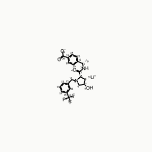 C[C@H](NC(=O)[C@H]1C[C@@H](O)CN1Cc1cccc(C(F)(F)F)c1)c1ccc(C(=O)[O-])cc1.[Li+]